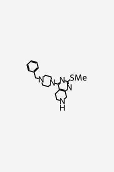 CSc1nc2c(c(N3CCN(Cc4ccccc4)CC3)n1)CCNC2